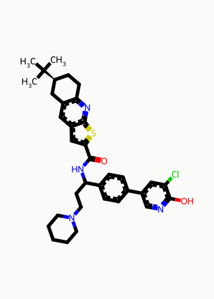 CC(C)(C)[C@H]1CCc2nc3sc(C(=O)NC(CCN4CCCCC4)c4ccc(-c5cnc(O)c(Cl)c5)cc4)cc3cc2C1